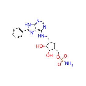 NS(=O)(=O)OC[C@H]1C[C@@H](CNc2ncnc3[nH]c(-c4ccccc4)nc23)[C@H](O)[C@@H]1O